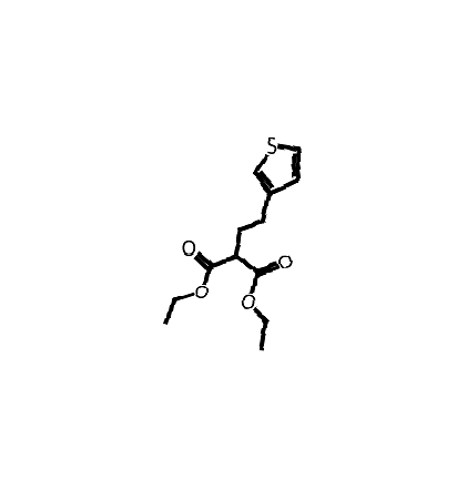 CCOC(=O)C(CCc1ccsc1)C(=O)OCC